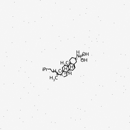 CC(C)CCC[C@@H](C)[C@H]1CC[C@H]2[C@@H]3CC=C4C[C@@H](NP(O)O)CC[C@]4(C)[C@H]3CC[C@]12C